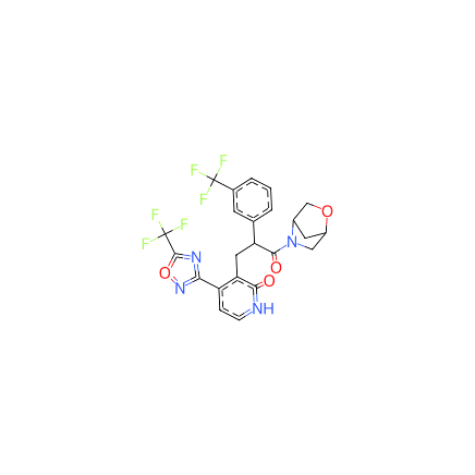 O=C(C(Cc1c(-c2noc(C(F)(F)F)n2)cc[nH]c1=O)c1cccc(C(F)(F)F)c1)N1CC2CC1CO2